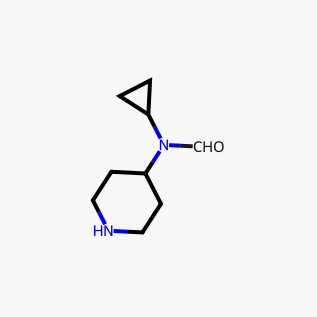 O=CN(C1CCNCC1)C1CC1